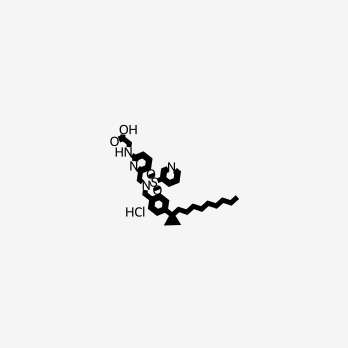 CCCCCCCCCC1(c2ccc(CN(Cc3cccc(NCC(=O)O)n3)S(=O)(=O)c3cccnc3)cc2)CC1.Cl